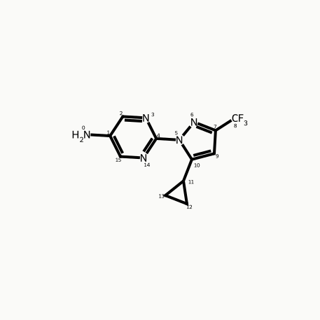 Nc1cnc(-n2nc(C(F)(F)F)cc2C2CC2)nc1